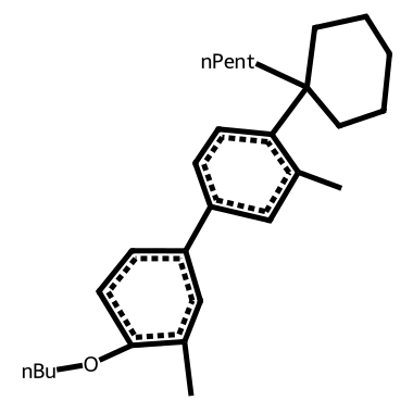 CCCCCC1(c2ccc(-c3ccc(OCCCC)c(C)c3)cc2C)CCCCC1